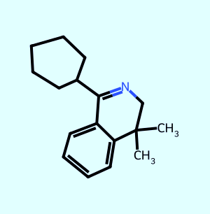 CC1(C)CN=C(C2CCCCC2)c2ccccc21